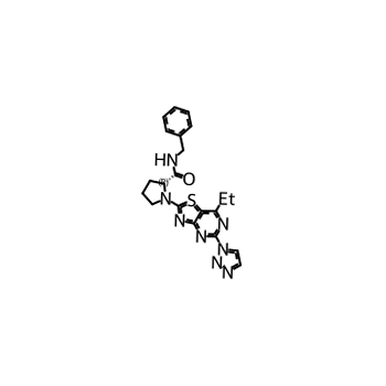 CCc1nc(-n2ccnn2)nc2nc(N3CCC[C@@H]3C(=O)NCc3ccccc3)sc12